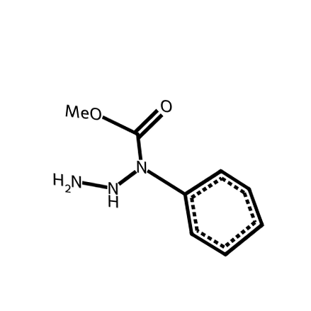 COC(=O)N(NN)c1ccccc1